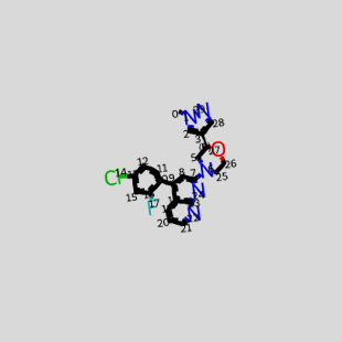 Cn1cc([C@@H]2CN(c3cc(-c4ccc(Cl)cc4F)c4cccnc4n3)CCO2)cn1